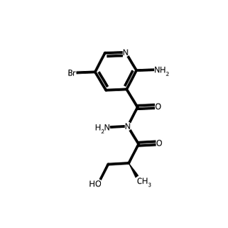 C[C@@H](CO)C(=O)N(N)C(=O)c1cc(Br)cnc1N